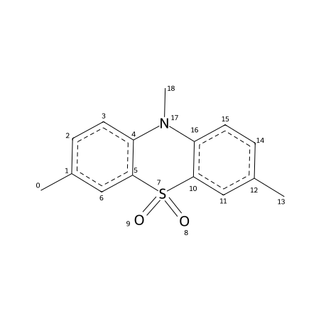 Cc1ccc2c(c1)S(=O)(=O)c1cc(C)ccc1N2C